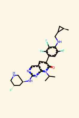 CC(C)n1c(=O)c(-c2cc(F)c(NCC3C[C@H]3C)c(F)c2F)cc2cnc(N[C@@H]3CNC[C@@H](F)C3)nc21